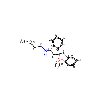 COCCNCCC(O)(Cc1ccccc1C(F)(F)F)c1ccccc1